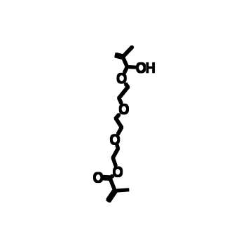 C=C(C)C(=O)OCCOCCOCCOC(O)C(=C)C